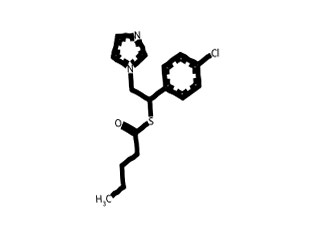 CCCCC(=O)SC(Cn1ccnc1)c1ccc(Cl)cc1